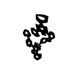 c1ccc(-c2cccc(-c3nc(-c4ccc5c(c4)sc4cccc(-c6nc(-c7ccccc7)nc(-c7ccccc7)n6)c45)nc4c3oc3ccccc34)c2)cc1